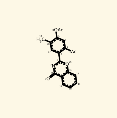 CC(=O)Oc1cc(C(C)=O)c(-c2nc(=O)c3ccccc3o2)cc1C